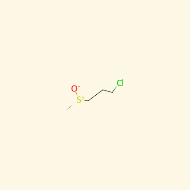 C[S@+]([O-])CCCCl